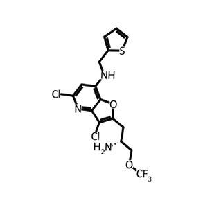 N[C@@H](COC(F)(F)F)Cc1oc2c(NCc3cccs3)cc(Cl)nc2c1Cl